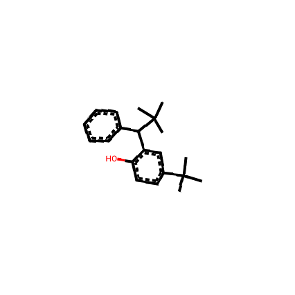 CC(C)(C)c1ccc(O)c(C(c2ccccc2)C(C)(C)C)c1